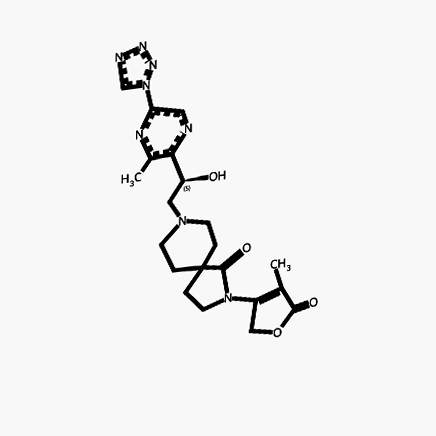 CC1=C(N2CCC3(CCN(C[C@H](O)c4ncc(-n5cnnn5)nc4C)CC3)C2=O)COC1=O